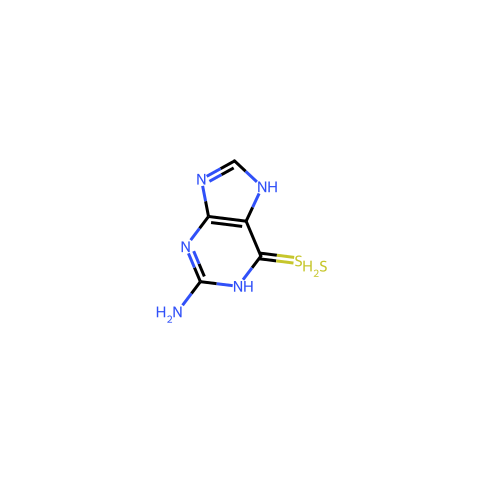 Nc1nc2nc[nH]c2c(=S)[nH]1.S